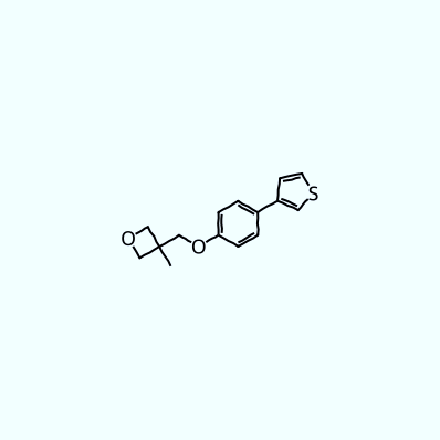 CC1(COc2ccc(-c3ccsc3)cc2)COC1